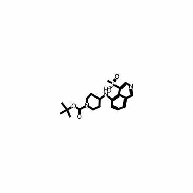 CC(C)(C)OC(=O)N1CCC(Nc2cccc3cncc(S(C)(=O)=O)c23)CC1